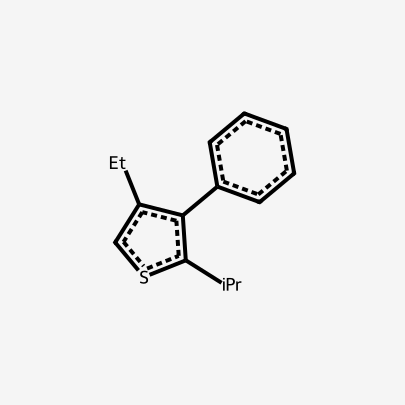 CCc1csc(C(C)C)c1-c1ccccc1